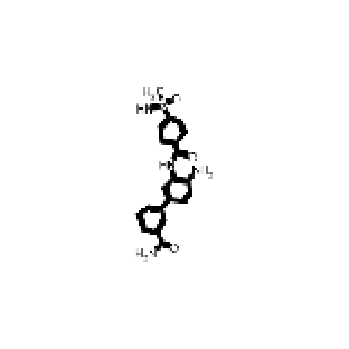 CS(=N)(=O)c1ccc(C(=O)Nc2cc(-c3cccc(C(N)=O)c3)ccc2N)cc1